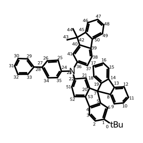 CC(C)(C)c1ccc2c(c1)C1(c3ccccc3-c3ccccc31)c1cc(N(c3ccc(-c4ccccc4)cc3)c3ccc4c(c3)C(C)(C)c3ccccc3-4)ccc1-2